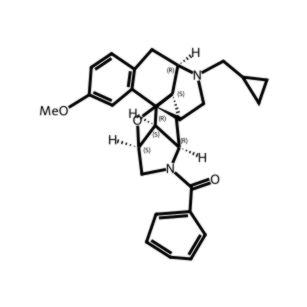 COc1ccc2c(c1)[C@]13CCN(CC4CC4)[C@H](C2)[C@]12CC[C@@H]1[C@H]3[C@@H](CN1C(=O)c1ccccc1)O2